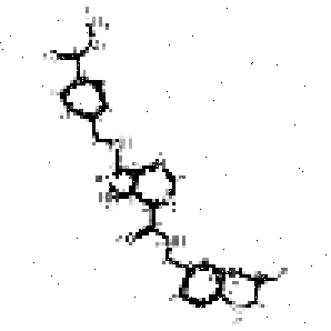 COC(=O)c1ccc(CNc2n[nH]c3c(C(=O)NCc4ccc5c(c4)NC(=O)CO5)ncnc23)cc1